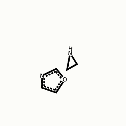 C1CN1.c1cocn1